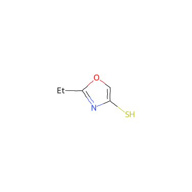 CCc1nc(S)co1